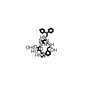 O=CO[C@@H]1[C@H](O)C(c2nnc[nH]2)O[C@H]1n1cnc2c(NCC(c3ccccc3)c3ccccc3)nc(N[C@H](CO)Cc3ccccc3)nc21